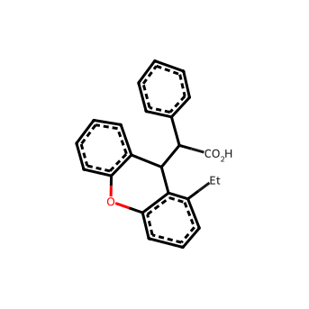 CCc1cccc2c1C(C(C(=O)O)c1ccccc1)c1ccccc1O2